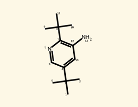 CC(C)(C)c1cnc(C(C)(C)C)c(N)c1